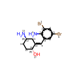 Nc1c(Br)cc(Br)cc1C=C1C[C@H](N)CC[C@H]1O